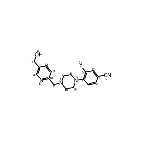 N#Cc1ccc(N2CCN(Cc3ccc(CO)cn3)CC2)c(F)c1